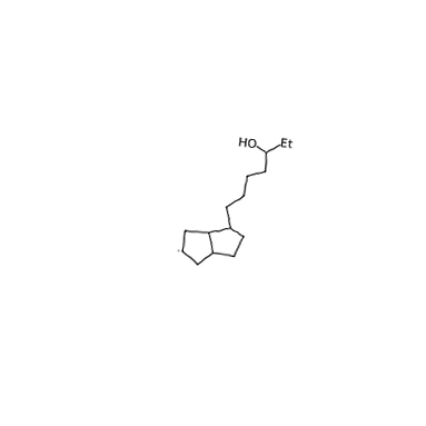 CCC(O)CCCCC1CCC2C[CH]CC21